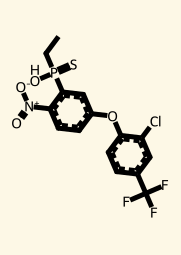 CCP(O)(=S)c1cc(Oc2ccc(C(F)(F)F)cc2Cl)ccc1[N+](=O)[O-]